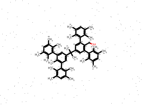 Cc1cc(C)c(C)c(-c2cc(C(C)(C)c3cc(-c4c(C)c(C)cc(C)c4C)c(CO)c(-c4c(C)c(C)cc(C)c4C)c3)cc(-c3c(C)c(C)cc(C)c3C)c2C)c1C